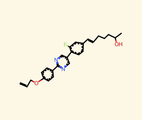 C=CCOc1ccc(-c2ncc(-c3ccc(C=CCCCC(C)O)cc3F)cn2)cc1